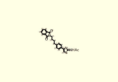 CC(=O)Nc1nc(-c2ccc(CCCCN3C(=O)c4ccccc4C3=O)cc2)cs1